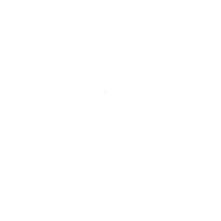 FC=C=C(F)C(F)(F)F